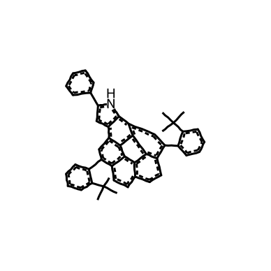 CC(C)(C)c1ccccc1-c1cc2c3cc(-c4ccccc4)[nH]c3c3cc(-c4ccccc4C(C)(C)C)c4ccc5ccc1c1c5c4c3c21